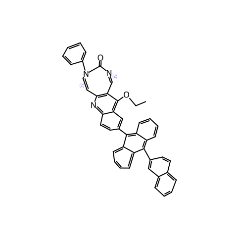 CCOc1c2c(nc3ccc(-c4c5ccccc5c(-c5ccc6ccccc6c5)c5ccccc45)cc13)/C=C\N(c1ccccc1)C(=O)/N=C\2